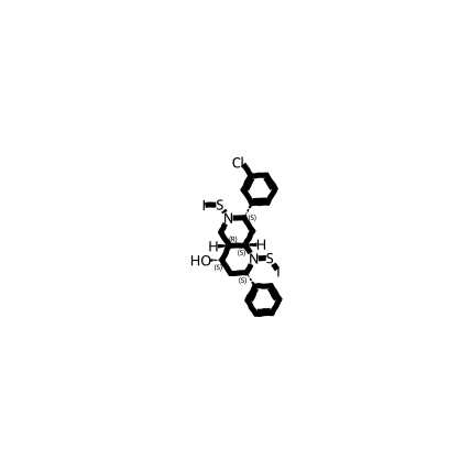 O[C@H]1C[C@@H](c2ccccc2)N(SI)[C@H]2C[C@@H](c3cccc(Cl)c3)N(SI)C[C@@H]12